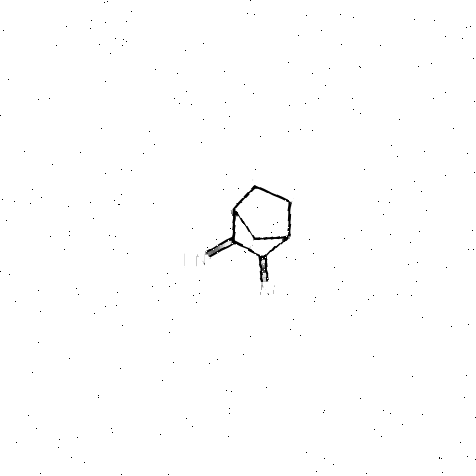 N=C1C(=N)C2CCC1C2